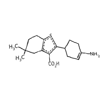 CC1(C)CCc2sc(C3CC=C(N)CC3)c(C(=O)O)c2C1